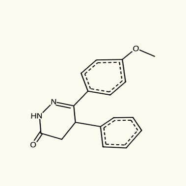 COc1ccc(C2=NNC(=O)CC2c2ccccc2)cc1